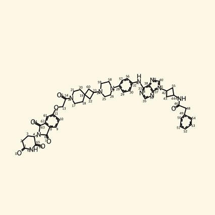 O=C1CC[C@H](N2C(=O)c3ccc(OCC(=O)N4CCC5(CC4)CC(N4CCN(c6ccc(Nc7ncnc8c7ncn8C7CC(NC(=O)Cc8ccccc8)C7)cc6)CC4)C5)cc3C2=O)C(=O)N1